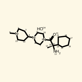 CN1CCC(N2CCN(C(=O)[C@@](C)(N)C3CCCCC3)CC2)CC1.Cl